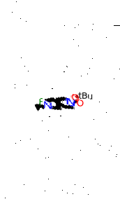 CC(C)(C)OC(=O)N1CCC2(CCN(CC3(F)CC3)CC2)CC1